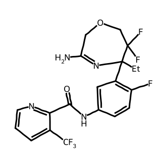 CCC1(c2cc(NC(=O)c3ncccc3C(F)(F)F)ccc2F)N=C(N)COCC1(F)F